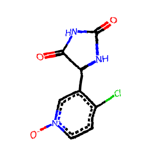 O=C1NC(=O)C(c2c[n+]([O-])ccc2Cl)N1